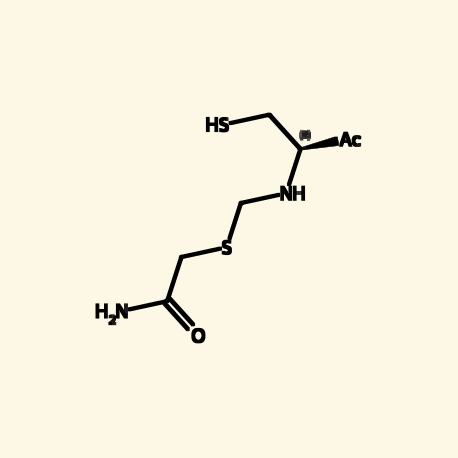 CC(=O)[C@H](CS)NCSCC(N)=O